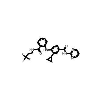 O=C(Nc1ncccn1)c1ccc(Nc2ccccc2C(=O)NCCC(F)(F)F)c(C2CC2)c1